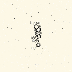 Cc1cnn(C[C@@](C)(O)[C@H]2CC[C@H]3[C@@H]4CC[C@@H]5C[C@](C)(O)CC[C@@H]5[C@H]4CC[C@@]32C)c1